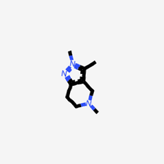 Cc1c2c(nn1C)CCN(C)C2